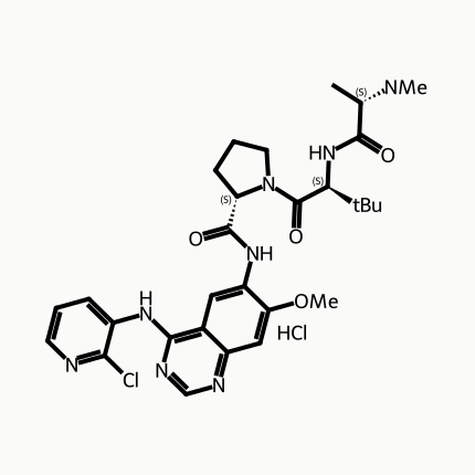 CN[C@@H](C)C(=O)N[C@H](C(=O)N1CCC[C@H]1C(=O)Nc1cc2c(Nc3cccnc3Cl)ncnc2cc1OC)C(C)(C)C.Cl